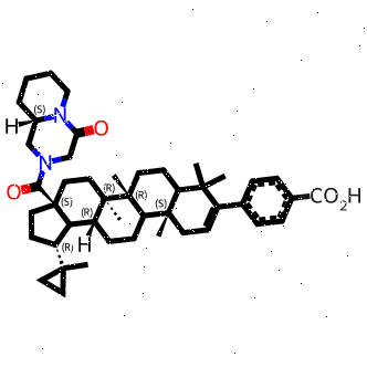 CC1(C)C(c2ccc(C(=O)O)cc2)=CC[C@@]2(C)C1CC[C@]1(C)C2CC[C@@H]2C3[C@H](C4(C)CC4)CC[C@]3(C(=O)N3CC(=O)N4CCCC[C@H]4C3)CC[C@]21C